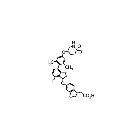 Cc1cc(OC2CCS(=O)(=O)NC2)cc(C)c1-c1ccc(F)c2c1CC[C@H]2Oc1ccc2c(c1)OCC2CC(=O)O